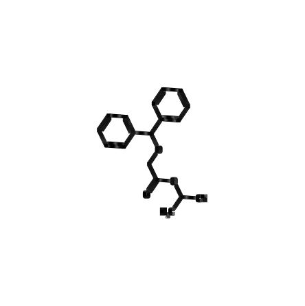 CC(C#N)OC(=O)COC(c1ccccc1)c1ccccc1